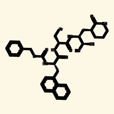 CC(C)C[C@H](NC(=O)[C@H](Cc1cccc2ccccc12)NC(=O)OCc1ccccc1)C(=O)N[C@@H](C[C@@H]1CCCNC1=O)[C@H](O)C#N